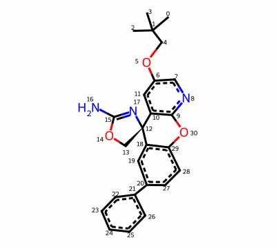 CC(C)(C)COc1cnc2c(c1)[C@]1(COC(N)=N1)c1cc(-c3ccccc3)ccc1O2